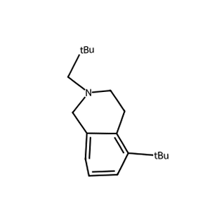 CC(C)(C)CN1CCc2c(cccc2C(C)(C)C)C1